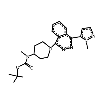 CN(C(=O)OC(C)(C)C)C1CCN(c2nnc(-c3ccnn3C)c3ccccc23)CC1